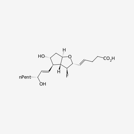 CCCCC[C@@H](O)/C=C/[C@@H]1[C@H]2[C@H](F)[C@@H](/C=C/CCC(=O)O)O[C@@H]2C[C@H]1O